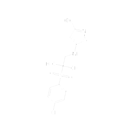 CC(C)(C)c1cc(NCC(C)(C)S(=O)(=O)c2ccc(Cl)cc2)on1